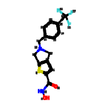 O=C(NO)c1cc2c(s1)CN(Cc1ccc(C(F)(F)F)cc1)C2